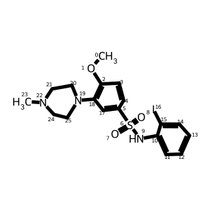 COc1ccc(S(=O)(=O)Nc2ccccc2I)cc1N1CCN(C)CC1